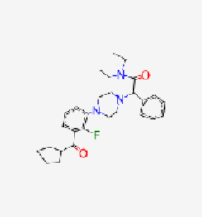 CCN(CC)C(=O)C(c1ccccc1)N1CCN(c2cccc(C(=O)C3CCCC3)c2F)CC1